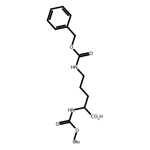 CC(C)(C)OC(=O)NC(CCCNC(=O)OCc1ccccc1)C(=O)O